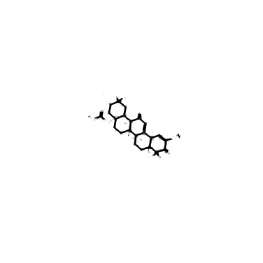 [C-]#[N+]C1=C[C@]2(C)C3=CC(=O)[C@@H]4[C@@H]5CC(C)(C)CC[C@]5(NC(=O)NC)CC[C@@]4(C)[C@]3(C)CC[C@H]2C(C)(C)C1=O